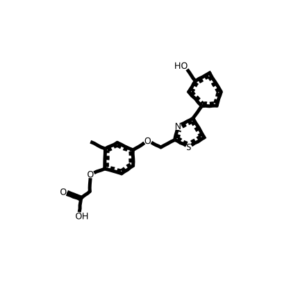 Cc1cc(OCc2nc(-c3cccc(O)c3)cs2)ccc1OCC(=O)O